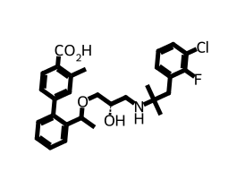 Cc1cc(-c2ccccc2C(C)OC[C@@H](O)CNC(C)(C)Cc2cccc(Cl)c2F)ccc1C(=O)O